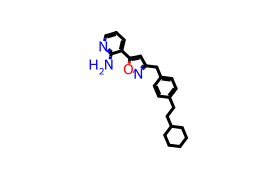 Nc1ncccc1-c1cc(Cc2ccc(CCC3CCCCC3)cc2)no1